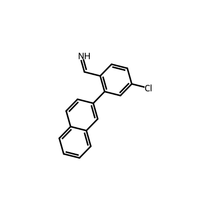 N=Cc1ccc(Cl)cc1-c1ccc2ccccc2c1